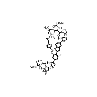 COC(=O)NC(C(=O)N1CCC[C@H]1c1ncc(-c2ccc3c(c2)cc2n3C(c3ccc(C4CC4)s3)Oc3cc(-c4cnc([C@@H]5C[C@H]6C[C@H]6N5C(=O)[C@@H](NC(=O)OC)C(C)C)[nH]4)cc(F)c3-2)[nH]1)C1C[C@@H](C)O[C@@H](C)C1